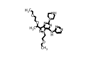 CCOCCOC(C)c1nn(CCOCC)c2c(Nc3ccncn3)nc(N3CCNCC3)nc12